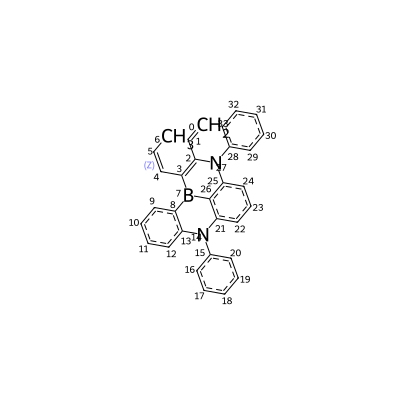 C=CC1=C(/C=C\C)B2c3ccccc3N(c3ccccc3)c3cccc(c32)N1c1ccccc1